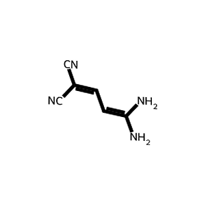 N#CC(C#N)=CC=C(N)N